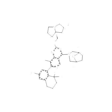 CC1(C)CCCc2cc(O)cc(-c3ncc4c(N5C[C@H]6CC[C@@H](C5)N6)nc(OC[C@@]56CCCN5C[C@H](F)C6)nc4c3F)c21